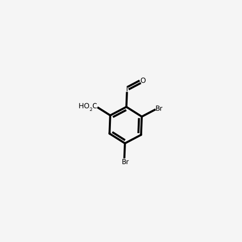 O=Ic1c(Br)cc(Br)cc1C(=O)O